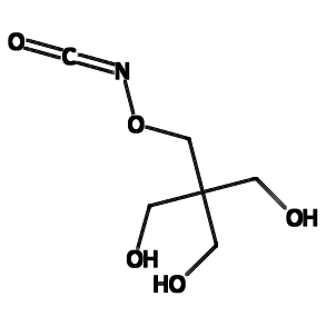 O=C=NOCC(CO)(CO)CO